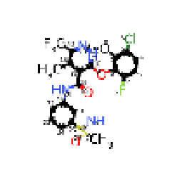 COc1c(Cl)ccc(F)c1Oc1nnc(C(F)(F)F)c(C)c1C(=O)Nc1cccc(S(C)(=N)=O)c1